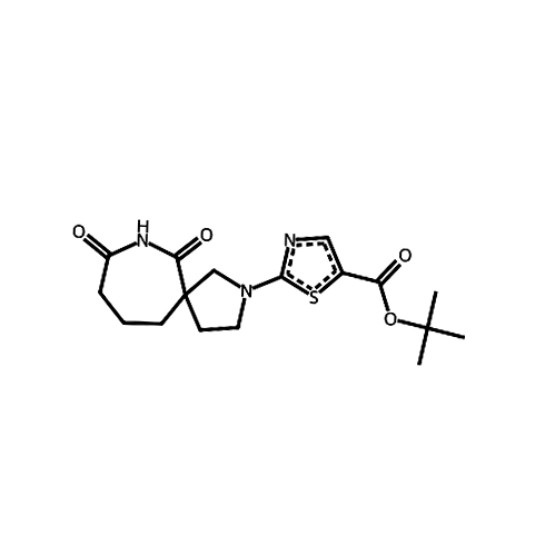 CC(C)(C)OC(=O)c1cnc(N2CCC3(CCCC(=O)NC3=O)C2)s1